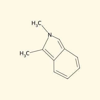 Cc1c2ccccc2cn1C